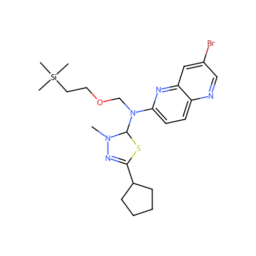 CN1N=C(C2CCCC2)SC1N(COCC[Si](C)(C)C)c1ccc2ncc(Br)cc2n1